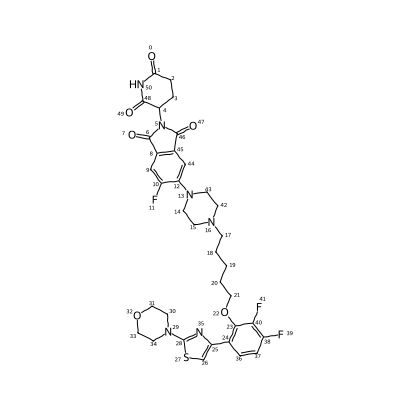 O=C1CCC(N2C(=O)c3cc(F)c(N4CCN(CCCCCOc5c(-c6csc(N7CCOCC7)n6)ccc(F)c5F)CC4)cc3C2=O)C(=O)N1